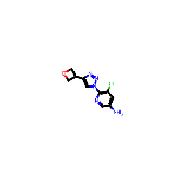 Nc1cnc(-n2cc(C3COC3)nn2)c(Cl)c1